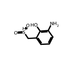 Nc1cccc(C[SH](=O)=O)c1O